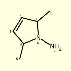 CC1C=CC(C)N1N